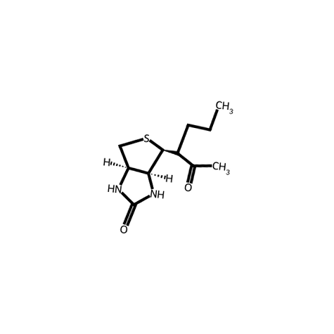 CCCC(C(C)=O)[C@@H]1SC[C@@H]2NC(=O)N[C@@H]21